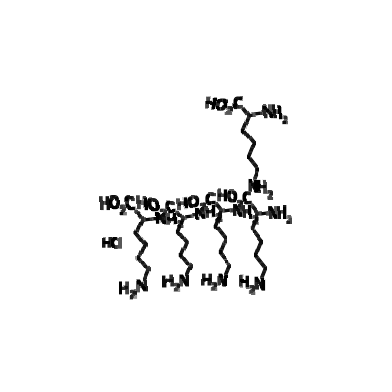 Cl.NCCCCC(N)C(=O)O.NCCCCC(N)C(=O)O.NCCCCC(N)C(=O)O.NCCCCC(N)C(=O)O.NCCCCC(N)C(=O)O